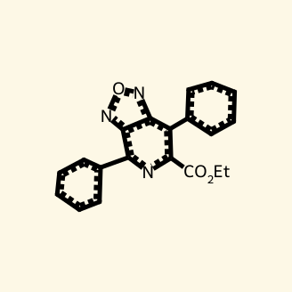 CCOC(=O)c1nc(-c2ccccc2)c2nonc2c1-c1ccccc1